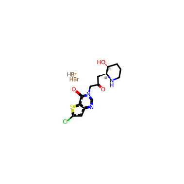 Br.Br.O=C(C[C@@H]1NCCC[C@H]1O)Cn1cnc2cc(Cl)sc2c1=O